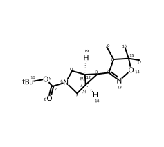 CC1C(C2[C@H]3CN(C(=O)OC(C)(C)C)C[C@@H]23)=NOC1(C)C